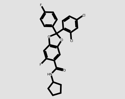 O=C(NC1CCCC1)c1cc2c(cc1F)OC(c1ccc(F)cc1)(c1ccc(Cl)cc1Cl)O2